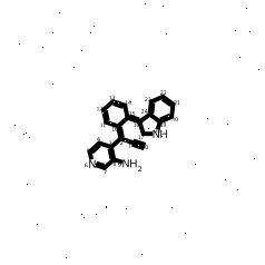 C#C/C(c1ccncc1N)=c1/cccc/c1=C1/CNc2ccccc21